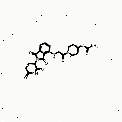 NC(=O)OC1CCN(C(=O)CNc2cccc3c2C(=O)N(C2CCC(=O)NC2=O)C3=O)CC1